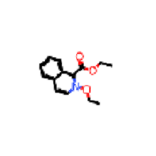 CCOC(=O)C1c2ccccc2C=CN1OCC